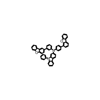 c1ccc(-n2c3ccccc3c3ccc(N(c4ccc(-c5cccc6c5oc5ccccc56)cc4)c4cccc(-c5ccc6oc7ccccc7c6c5)c4)cc32)cc1